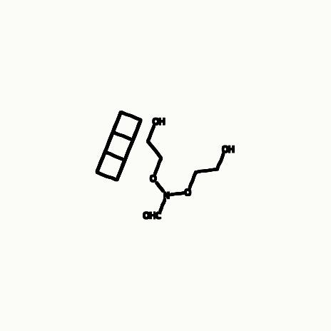 C12C3C4C1C1C2C3C41.O=CN(OCCO)OCCO